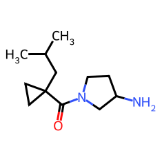 CC(C)CC1(C(=O)N2CCC(N)C2)CC1